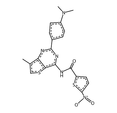 Cc1csc2c(NC(=O)c3ccc([N+](=O)[O-])s3)nc(-c3ccc(N(C)C)cc3)nc12